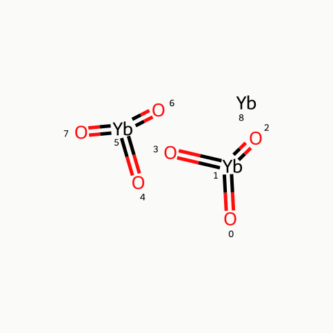 [O]=[Yb](=[O])=[O].[O]=[Yb](=[O])=[O].[Yb]